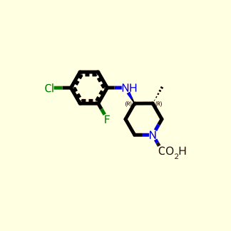 C[C@@H]1CN(C(=O)O)CC[C@H]1Nc1ccc(Cl)cc1F